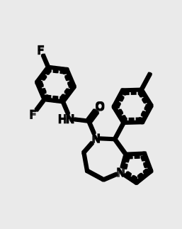 Cc1ccc(C2c3cccn3CCCN2C(=O)Nc2ccc(F)cc2F)cc1